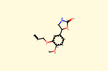 C=CCOc1cc(C2CNC(=O)O2)ccc1OC